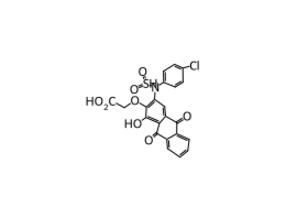 O=C(O)COc1c(N(c2ccc(Cl)cc2)[SH](=O)=O)cc2c(c1O)C(=O)c1ccccc1C2=O